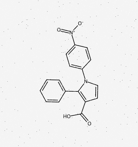 O=C(O)c1ccn(-c2ccc([N+](=O)[O-])cc2)c1-c1ccccc1